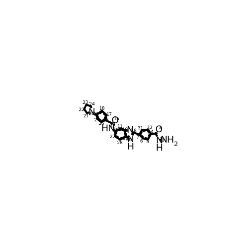 NNC(=O)c1ccc(-c2nc3cc(NC(=O)c4ccc(N5CCCC5)cc4)ccc3[nH]2)cc1